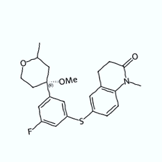 CO[C@]1(c2cc(F)cc(Sc3ccc4c(c3)CCC(=O)N4C)c2)CCOC(C)C1